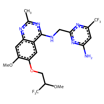 COc1cc2nc(C)nc(NCc3nc(N)cc(C(F)(F)F)n3)c2cc1OCC(OC)C(F)(F)F